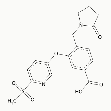 CS(=O)(=O)c1ccc(Oc2cc(C(=O)O)ccc2CN2CCCC2=O)cn1